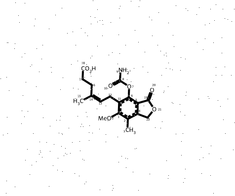 COc1c(C)c2c(c(OC(N)=O)c1CC=C(C)CCC(=O)O)C(=O)OC2